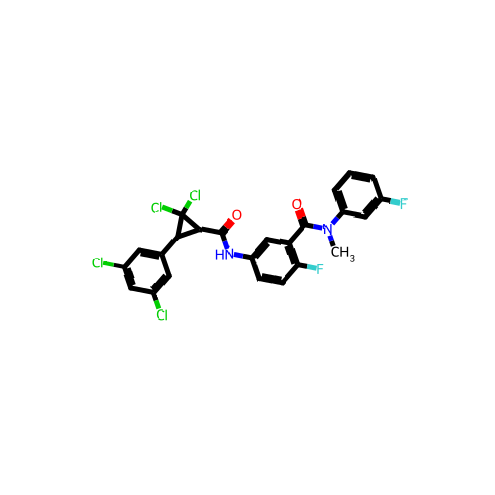 CN(C(=O)c1cc(NC(=O)C2C(c3cc(Cl)cc(Cl)c3)C2(Cl)Cl)ccc1F)c1cccc(F)c1